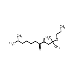 CCCOC(C)(C)CNC(=O)CCCCC(C)C